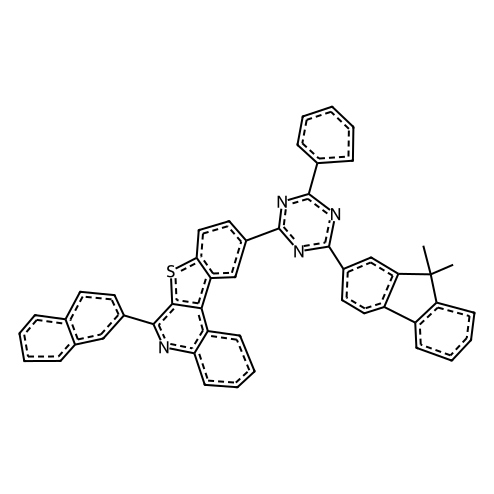 CC1(C)c2ccccc2-c2ccc(-c3nc(-c4ccccc4)nc(-c4ccc5sc6c(-c7ccc8ccccc8c7)nc7ccccc7c6c5c4)n3)cc21